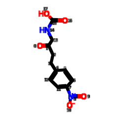 O=C(CCc1ccc([N+](=O)[O-])cc1)CNC(=O)O